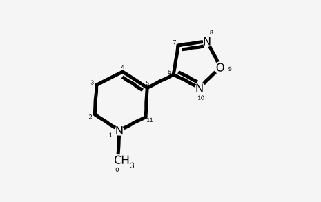 CN1CCC=C(c2cnon2)C1